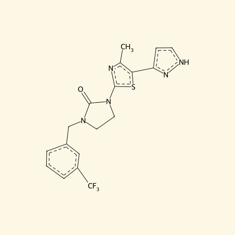 Cc1nc(N2CCN(Cc3cccc(C(F)(F)F)c3)C2=O)sc1-c1cc[nH]n1